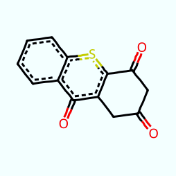 O=C1CC(=O)c2sc3ccccc3c(=O)c2C1